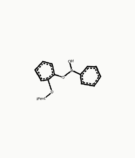 CCCC(C)Oc1ccccc1OB(O)c1ccccc1